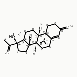 CC(=O)[C@@]1(O)CC[C@H]2[C@@H]3CCC4=CC(=O)CC[C@]4(C(C)C)[C@H]3CC[C@@]21C